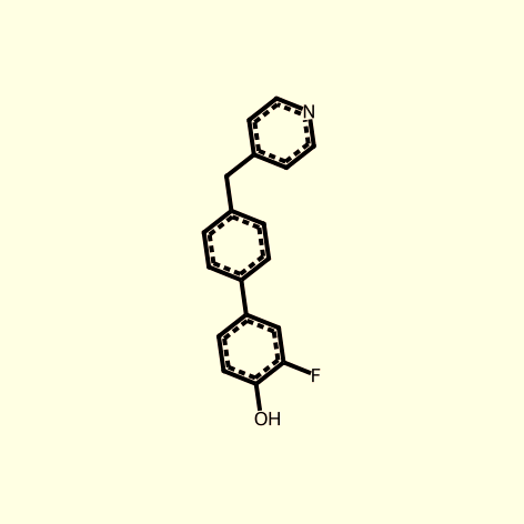 Oc1ccc(-c2ccc(Cc3ccncc3)cc2)cc1F